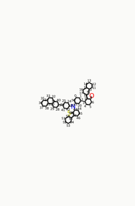 c1cc(-c2cccc3oc4c5ccccc5ccc4c23)cc(N(c2ccc(-c3ccc4c(ccc5ccccc54)c3)cc2)c2cccc3c2sc2ccccc23)c1